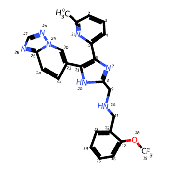 Cc1cccc(-c2nc(CNCc3ccccc3OC(F)(F)F)[nH]c2-c2ccc3ncnn3c2)n1